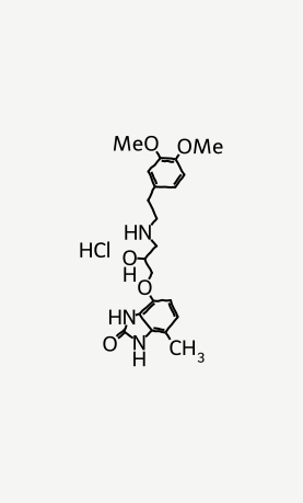 COc1ccc(CCNCC(O)COc2ccc(C)c3[nH]c(=O)[nH]c23)cc1OC.Cl